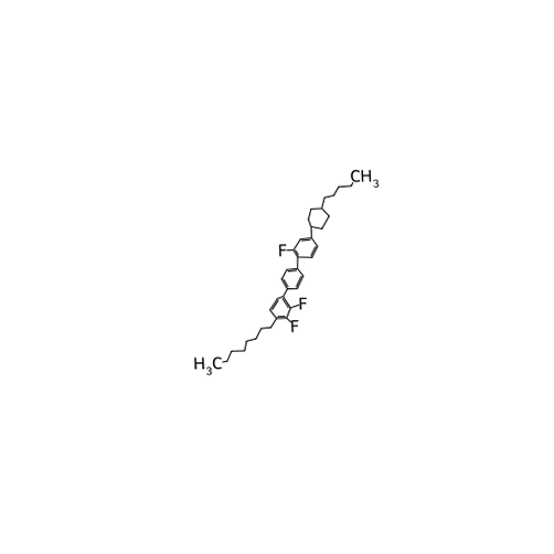 CCCCCCCCc1ccc(-c2ccc(-c3ccc(C4CCC(CCCCC)CC4)cc3F)cc2)c(F)c1F